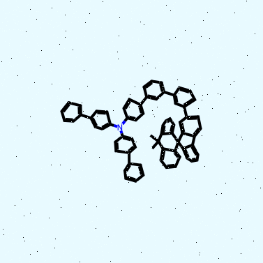 CC1(C)c2ccccc2C2(c3ccccc3-c3ccc(-c4cccc(-c5cccc(-c6ccc(N(c7ccc(-c8ccccc8)cc7)c7ccc(-c8ccccc8)cc7)cc6)c5)c4)cc32)c2ccccc21